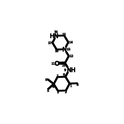 CC1CCC(C)(C)CC1NC(=O)CN1CCNCC1